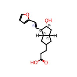 O=C(O)CCC1C[C@H]2C[C@@H](O)[C@H](/C=C/c3ccco3)[C@H]2C1